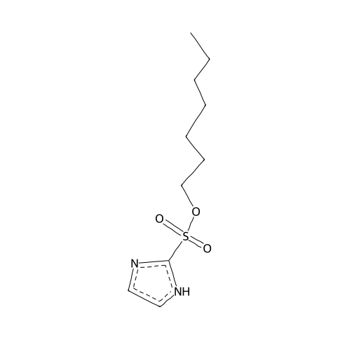 CCCCCCCOS(=O)(=O)c1ncc[nH]1